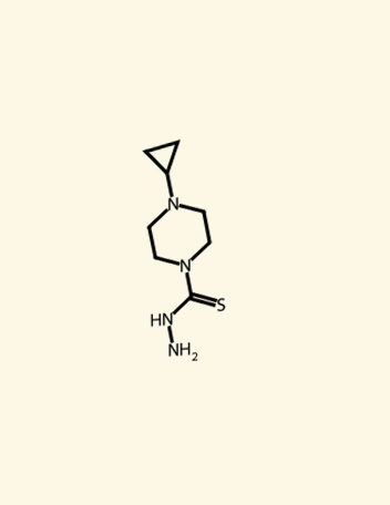 NNC(=S)N1CCN(C2CC2)CC1